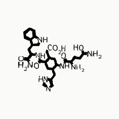 NC(=O)C(CC1CNc2ccccc21)NC(=O)C1CC(Cc2cnc[nH]2)C(NC(=O)C(N)CCC(N)O)CC1CC(=O)O